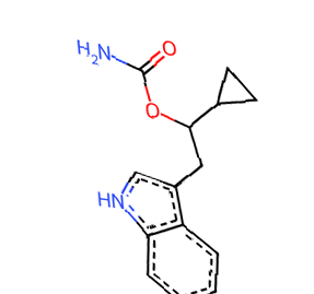 NC(=O)OC(Cc1c[nH]c2ccccc12)C1CC1